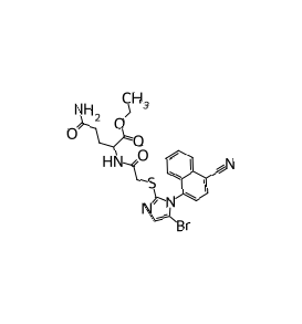 CCOC(=O)C(CCC(N)=O)NC(=O)CSc1ncc(Br)n1-c1ccc(C#N)c2ccccc12